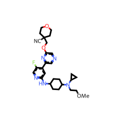 COCCN(C1CCC(Nc2cc(-c3cncc(OCC4(C#N)CCOCC4)n3)c(F)cn2)CC1)C1CC1